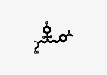 C[C@@H](CCO)CCN(CC=Cc1ccc(N(C)C)cc1)S(=O)(=O)c1ccc(Cl)cc1